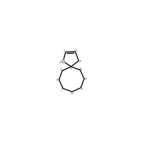 C1=COC2(C1)CCCCCCC2